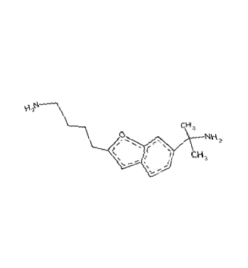 CC(C)(N)c1ccc2cc(CCCCN)oc2c1